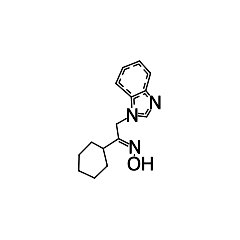 ON=C(Cn1cnc2ccccc21)C1CCCCC1